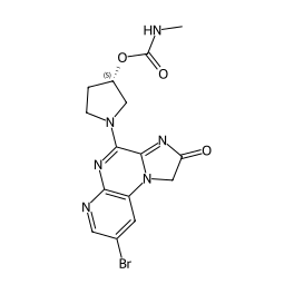 CNC(=O)O[C@H]1CCN(C2=Nc3ncc(Br)cc3N3CC(=O)N=C23)C1